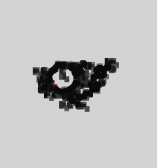 COc1cc2cc(c1Cl)N(C)C(=O)C[C@H](OC(=O)[C@@H](C)N(C)C(=O)CCSC1CC(=O)N(CC3CCC(C(N)=O)CC3)C1=O)C1(C)O[C@H]1[C@H](C)[C@@H]1C[C@@](O)(NC(=O)O1)[C@H](OC)/C=C/C=C(\C)C2